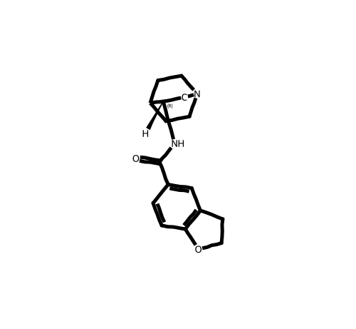 O=C(N[C@H]1CN2CCC1CC2)c1ccc2c(c1)CCO2